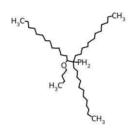 CCCCCCCCCCCCC(OCCCC)C(P)(CCCCCCCCCCCC)CCCCCCCCCCCC